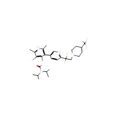 Cc1nc(C)c(-c2ccc(C(F)(F)CN3CCC(C(F)(F)F)CC3)nc2)c(OC(=O)N(C(C)C)C(C)C)c1Cl